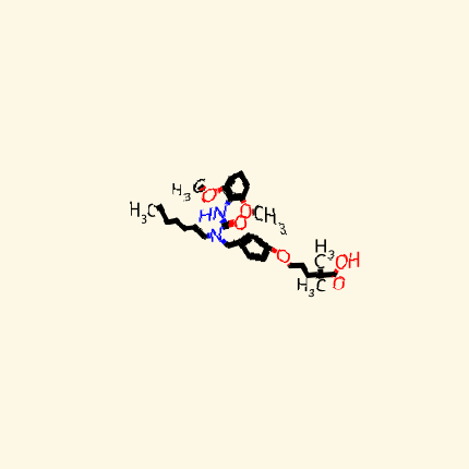 CCCCCCCN(Cc1ccc(OCCCC(C)(C)C(=O)O)cc1)C(=O)Nc1c(OC)cccc1OC